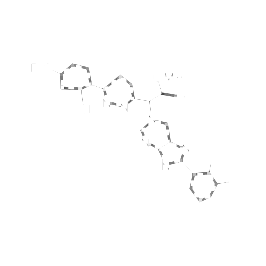 COC(=O)C(c1ccc(-c2ccc(C(F)(F)F)cc2C(F)(F)F)nn1)n1cnc2nc(-c3cccc(F)c3F)nc-2c1